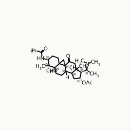 CC(=O)O[C@@H]1C[C@@]2(C)[C@@H]3CC[C@@H]4C5(CC[C@H](NC(=O)C(C)C)[C@@]4(C)C=O)C[C@@]35C(=O)C[C@]2(C)[C@H]1[C@H](C)N(C)C